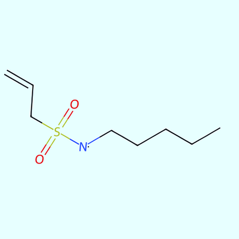 C=CCS(=O)(=O)[N]CCCCC